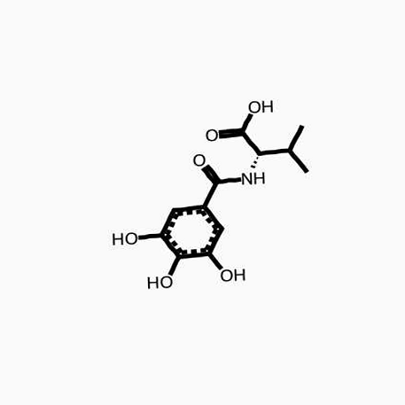 CC(C)[C@H](NC(=O)c1cc(O)c(O)c(O)c1)C(=O)O